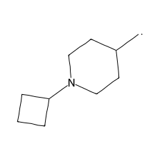 [CH2]C1CCN(C2CCC2)CC1